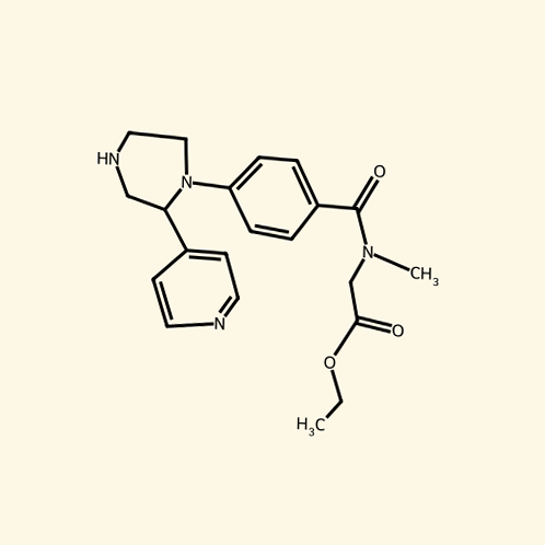 CCOC(=O)CN(C)C(=O)c1ccc(N2CCNCC2c2ccncc2)cc1